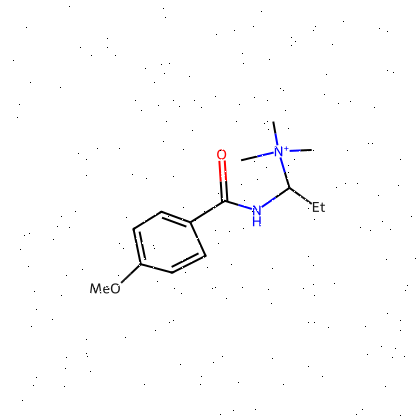 CCC(NC(=O)c1ccc(OC)cc1)[N+](C)(C)C